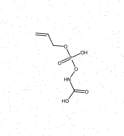 C=CCOP(=O)(O)ONC(=O)O